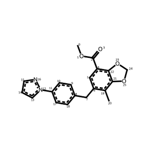 COC(=O)c1cc(Cc2ccc(-n3cccn3)cc2)c(C)c2c1OCO2